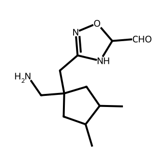 CC1CC(CN)(CC2=NOC(C=O)N2)CC1C